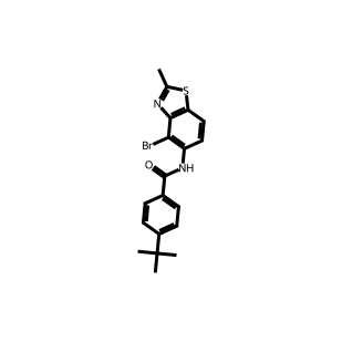 Cc1nc2c(Br)c(NC(=O)c3ccc(C(C)(C)C)cc3)ccc2s1